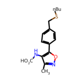 CCCCSCc1ccc(-c2onc(C)c2NC(=O)O)cc1